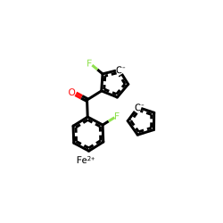 O=C(c1ccccc1F)c1cc[cH-]c1F.[Fe+2].c1cc[cH-]c1